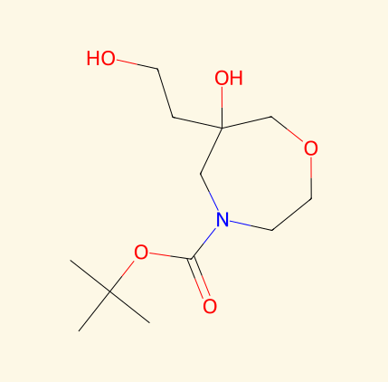 CC(C)(C)OC(=O)N1CCOCC(O)(CCO)C1